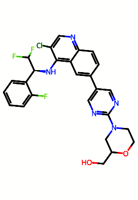 OCC1CN(c2ncc(-c3ccc4ncc(Cl)c(N[C@@H](c5ccccc5F)C(F)F)c4c3)cn2)CCO1